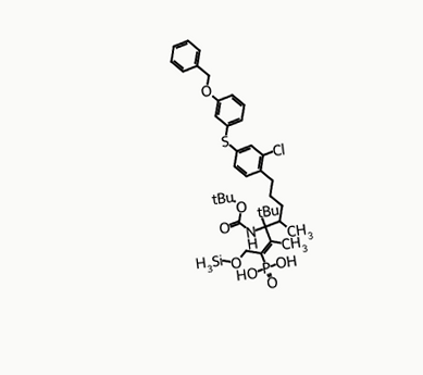 CC(=C(CO[SiH3])P(=O)(O)O)C(NC(=O)OC(C)(C)C)(C(C)CCCc1ccc(Sc2cccc(OCc3ccccc3)c2)cc1Cl)C(C)(C)C